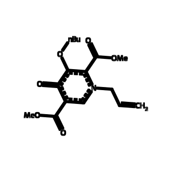 C=CCn1cc(C(=O)OC)c(=O)c(OCCCC)c1C(=O)OC